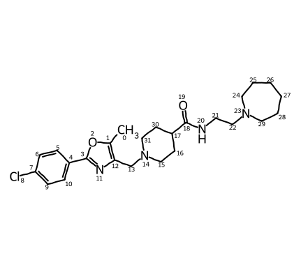 Cc1oc(-c2ccc(Cl)cc2)nc1CN1CCC(C(=O)NCCN2CCCCCC2)CC1